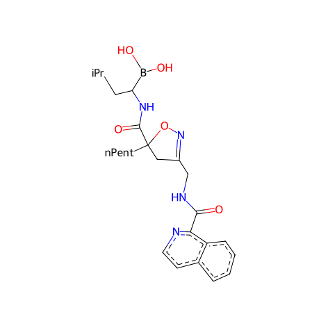 CCCCCC1(C(=O)NC(CC(C)C)B(O)O)CC(CNC(=O)c2nccc3ccccc23)=NO1